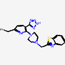 CC(C)Cc1ccc(-c2nn[nH]n2)c(N2CCN(Cc3nc4ccccc4s3)CC2)n1